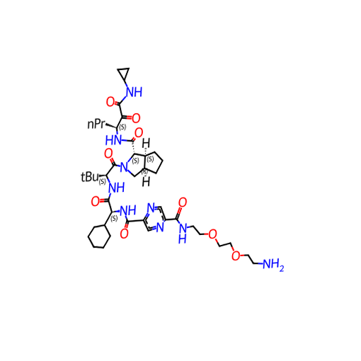 CCC[C@H](NC(=O)[C@@H]1[C@H]2CCC[C@H]2CN1C(=O)[C@@H](NC(=O)[C@@H](NC(=O)c1cnc(C(=O)NCCOCCOCCN)cn1)C1CCCCC1)C(C)(C)C)C(=O)C(=O)NC1CC1